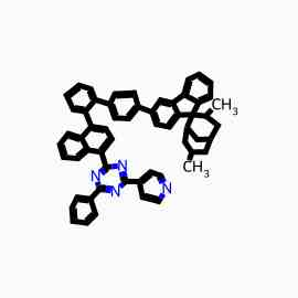 CC1CC2CC(C)C3(c4ccccc4-c4cc(-c5ccc(-c6ccccc6-c6ccc(-c7nc(-c8ccccc8)nc(-c8ccncc8)n7)c7ccccc67)cc5)ccc43)C(C1)C2